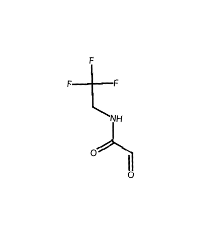 O=CC(=O)NCC(F)(F)F